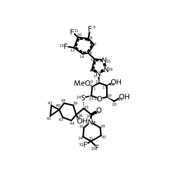 CO[C@@H]1[C@@H](n2cc(-c3cc(F)c(F)c(F)c3)nn2)[C@@H](O)[C@@H](CO)O[C@H]1S[C@H](C(=O)N1CCC(F)(F)CC1)C1(O)CCC2(CC2)CC1